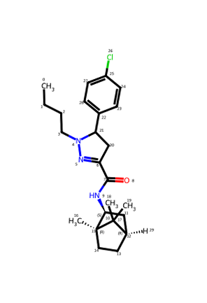 CCCCN1N=C(C(=O)N[C@H]2C[C@H]3CC[C@]2(C)C3(C)C)CC1c1ccc(Cl)cc1